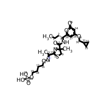 CCC[C@@H](NC(=O)C1(C)CSC(/C(C)=N/OCCCCOP(=O)(O)O)=N1)c1cc(OCC2CC2)cc(=O)o1